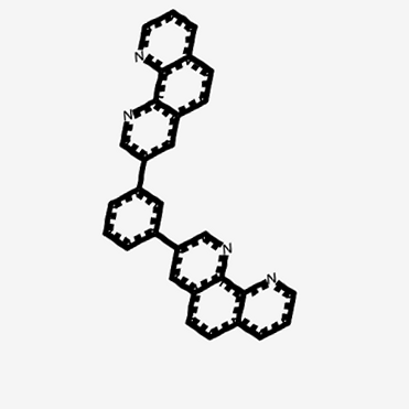 c1cc(-c2cnc3c(ccc4cccnc43)c2)cc(-c2cnc3c(ccc4cccnc43)c2)c1